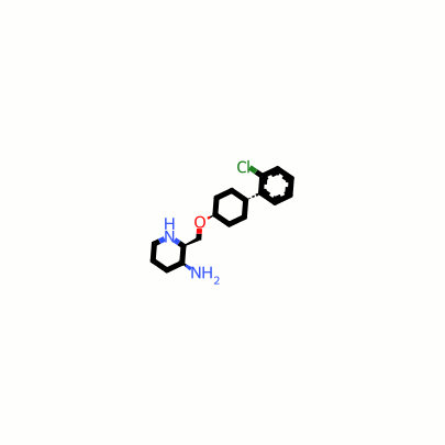 N[C@H]1CCCN[C@H]1CO[C@H]1CC[C@@H](c2ccccc2Cl)CC1